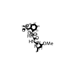 COc1cc(C)nc(NC(=O)NS(=O)(=O)c2ccccc2CS(C)(=O)=O)n1